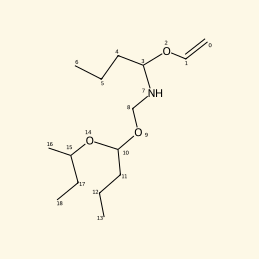 C=COC(CCC)NCOC(CCC)OC(C)CC